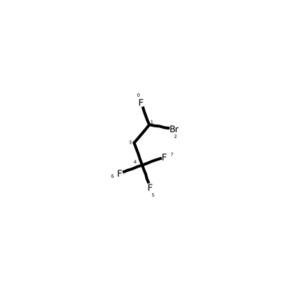 F[C](Br)CC(F)(F)F